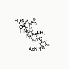 CC(=O)Nc1cc(Oc2ccn3nc(Nc4cc(C5CC5)cn(C)c4=O)cc3c2C)ccn1